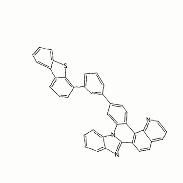 c1cc(-c2ccc3c4c(ccc5cccnc54)c4nc5ccccc5n4c3c2)cc(-c2cccc3c2sc2ccccc23)c1